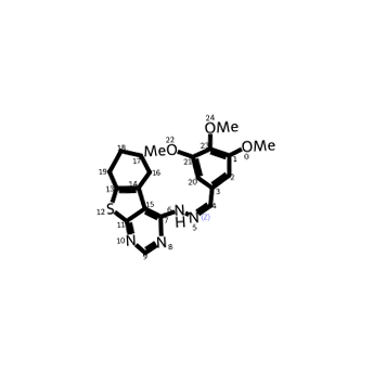 COc1cc(/C=N\Nc2ncnc3sc4c(c23)CCCC4)cc(OC)c1OC